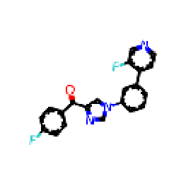 O=C(c1ccc(F)cc1)c1cn(-c2cccc(-c3ccncc3F)c2)cn1